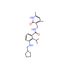 Cc1cc(C)c(CNC(=O)c2cccc(NCC3CCCC3)c2C(C)C)c(=O)[nH]1